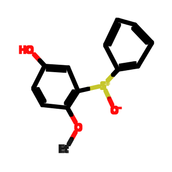 CCOc1ccc(O)cc1[S+]([O-])c1ccccc1